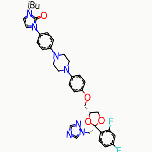 CCC(C)n1ccn(-c2ccc(N3CCN(c4ccc(OC[C@@H]5CO[C@@](Cn6cncn6)(c6ccc(F)cc6F)O5)cc4)CC3)cc2)c1=O